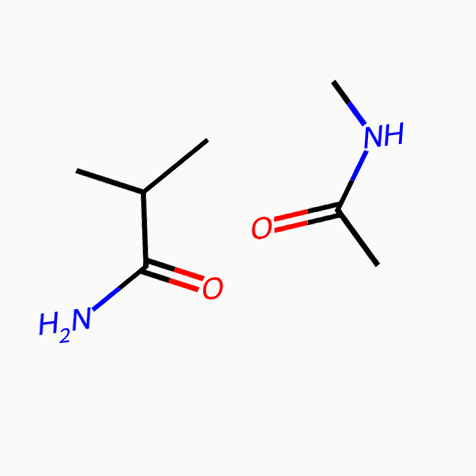 CC(C)C(N)=O.CNC(C)=O